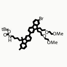 COCCOCCCC1(CCCOCCOC)c2cc(Br)ccc2-c2ccc(-c3ccc4c(c3)C(C)(CCCCNC(=O)OC(C)(C)C)c3cc(C)ccc3-4)cc21